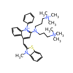 CN1/C(=C/c2cc(N(CCC[N+](C)(C)C)CCC[N+](C)(C)C)[n+](-c3ccccc3)c3ccccc23)Sc2ccccc21